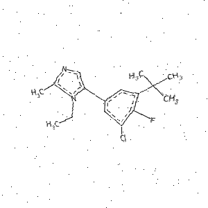 CCn1c(-c2cc(Cl)c(F)c(C(C)(C)C)c2)cnc1C